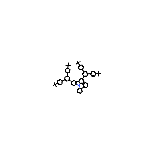 CC(C)(C)c1ccc(-c2cc(-c3ccc(C(C)(C)C)cc3)cc(-c3ccc4c(c3)c3cc(-c5cc(-c6ccc(C(C)(C)C)cc6)cc(-c6ccc(C(C)(C)C)cc6)c5)ccc3n4-c3ccccc3-c3ccccc3)c2)cc1